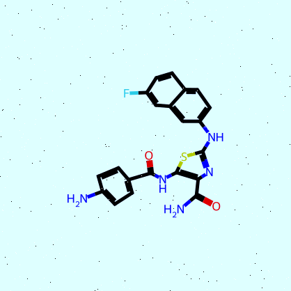 NC(=O)c1nc(Nc2ccc3ccc(F)cc3c2)sc1NC(=O)c1ccc(N)cc1